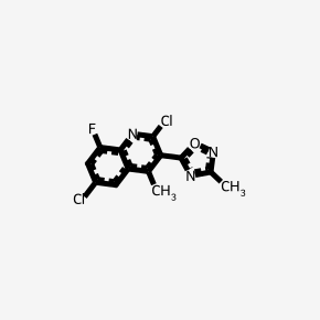 Cc1noc(-c2c(Cl)nc3c(F)cc(Cl)cc3c2C)n1